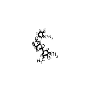 Cc1cc(Oc2ncc3nc(-c4cc(C)c([O])c(C)c4)oc3n2)ccc1F